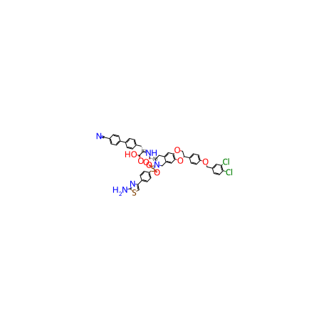 N#Cc1ccc(-c2ccc(C[C@H](NC(=O)[C@@H]3Cc4cc5c(cc4CN3S(=O)(=O)c3ccc(-c4csc(N)n4)cc3)OC(c3ccc(OCc4ccc(Cl)c(Cl)c4)cc3)CO5)C(=O)O)cc2)cc1